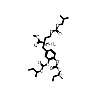 CCC(C)OC(=O)Oc1cc(C[C@](N)(CCOC(=O)OCC(C)C)C(=O)OC)ccc1OC(=O)O[C@@H](C)CC